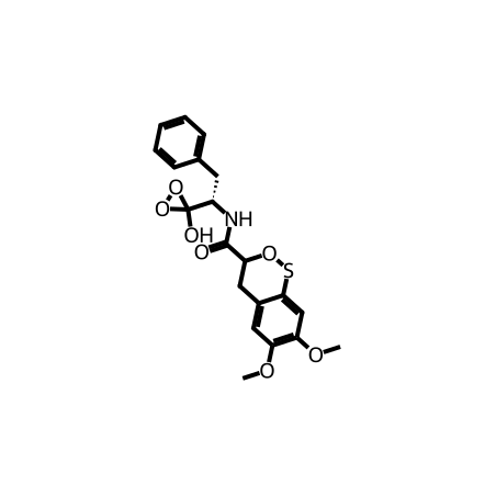 COc1cc2c(cc1OC)SOC(C(=O)N[C@@H](Cc1ccccc1)C1(O)OO1)C2